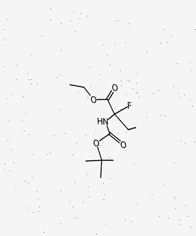 CCOC(=O)C(F)(CC)NC(=O)OC(C)(C)C